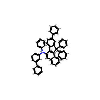 c1ccc(-c2cccc(N(c3ccccc3)c3cc4ccccc4c4c3-c3ccc(-c5ccccc5)cc3C4(c3ccccc3)c3ccccc3)c2)cc1